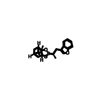 C[C@H](Cc1coc2ccccc12)B1O[C@@H]2C[C@@H]3C[C@@H](C3(C)C)[C@]2(C)O1